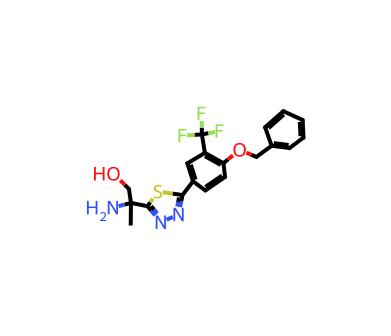 CC(N)(CO)c1nnc(-c2ccc(OCc3ccccc3)c(C(F)(F)F)c2)s1